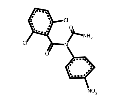 NC(=O)N(C(=O)c1c(Cl)cccc1Cl)c1ccc([N+](=O)[O-])cc1